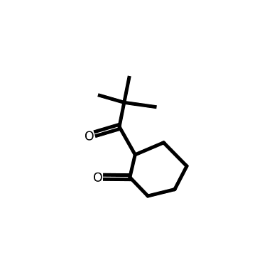 CC(C)(C)C(=O)C1CCCCC1=O